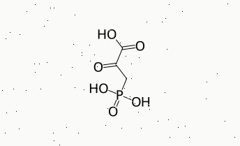 O=C(O)C(=O)CP(=O)(O)O